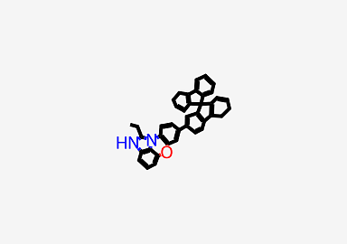 CCC1Nc2cccc3c2N1c1ccc(-c2ccc4c(c2)C2(C5=C(CCC=C5)c5ccccc52)C2=C4CCC=C2)cc1O3